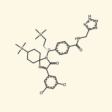 C[Si](C)(C)CC[C@H](c1ccc(C(=O)NCc2nn[nH]n2)cc1)N1C(=O)C(c2cc(Cl)cc(Cl)c2)=NC12CCC([Si](C)(C)C)CC2